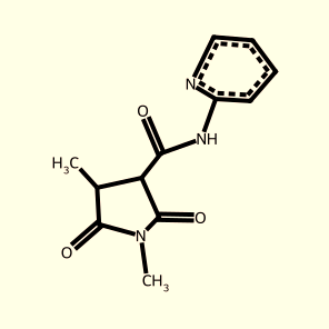 CC1C(=O)N(C)C(=O)C1C(=O)Nc1ccccn1